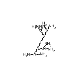 NCCCN(CCCN)CCCN(CCCCCCCCN(CCCN(CCN)CCN)CCCN(CCN)CCN)CCCN(CCN)CCN